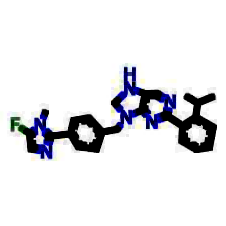 CC(C)c1ccccc1-c1ncc2c(n1)N(Cc1ccc(-c3ncc(F)n3C)cc1)CN2